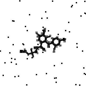 COCC(C)(C)ONC(=O)c1cn(C)c(=O)c(C)c1Nc1ccc(Br)cc1F